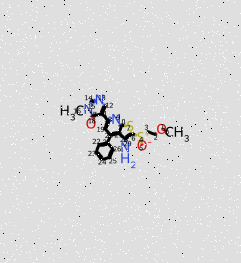 COCC[S+]([O-])c1sc2nc(-c3cncn(C)c3=O)cc(-c3ccccc3)c2c1N